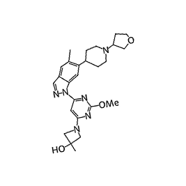 COc1nc(N2CC(C)(O)C2)cc(-n2ncc3cc(C)c(C4CCN(C5CCOC5)CC4)cc32)n1